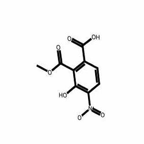 COC(=O)c1c(C(=O)O)ccc([N+](=O)[O-])c1O